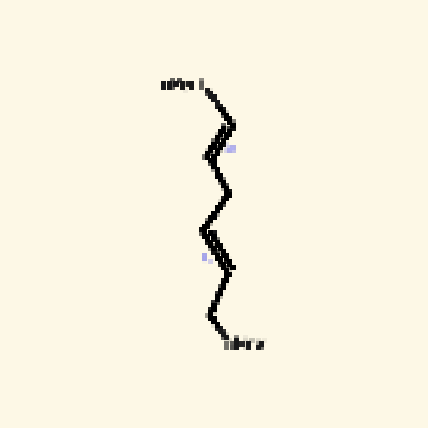 CCCCC/C=C/C/C=C/CCCCCCC